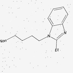 CCCCCCCCCCCCCn1c(CC)nc2ccccc21